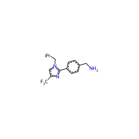 CC(C)Cn1cc(C(F)(F)F)nc1-c1ccc(CN)cc1